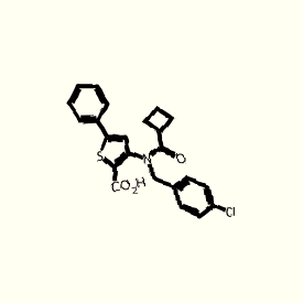 O=C(O)c1sc(-c2ccccc2)cc1N(Cc1ccc(Cl)cc1)C(=O)C1CCC1